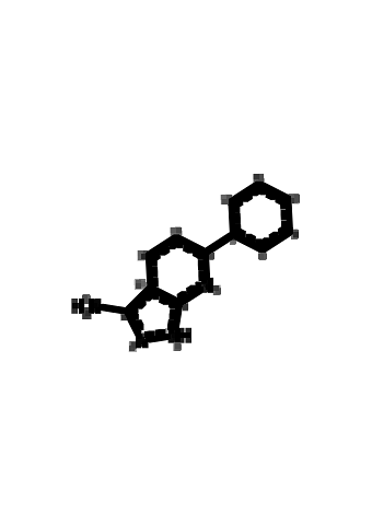 Nc1n[nH]c2nc(-c3ccccc3)ccc12